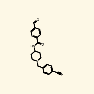 N#Cc1ccc(CN2CCC(NC(=O)c3ccc(C=O)cn3)CC2)cc1